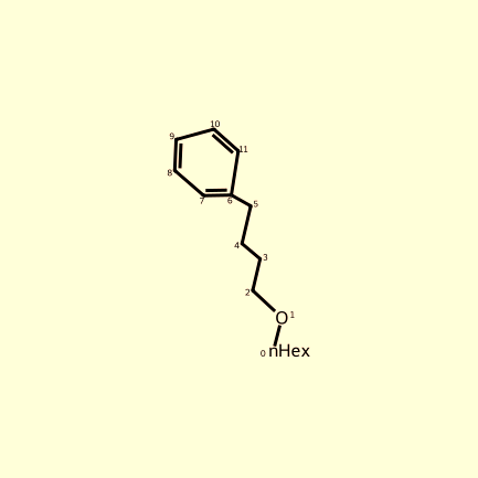 [CH2]CCCCCOCCCCc1ccccc1